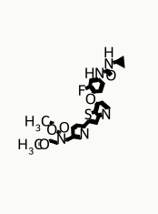 CCOC(=O)N(CCOC)Cc1ccc(-c2cc3nccc(Oc4ccc(NC(=O)NC5CC5)cc4F)c3s2)nc1